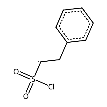 O=S(=O)(Cl)[CH]Cc1ccccc1